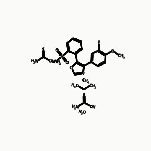 C.CCC.COc1ccc(-c2ncoc2-c2ccccc2S(N)(=O)=O)cc1F.NC(O)=S.NC(O)=S.O